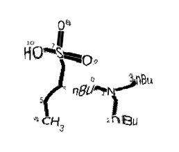 CCCCN(CCCC)CCCC.CCCS(=O)(=O)O